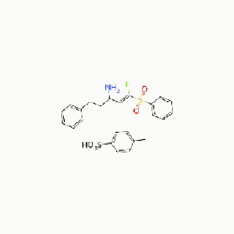 Cc1ccc(S(=O)(=O)O)cc1.NC(C=C(F)S(=O)(=O)c1ccccc1)CCc1ccccc1